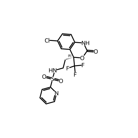 O=C1Nc2ccc(Cl)cc2[C@](CCNS(=O)(=O)c2ccccn2)(C(F)(F)F)O1